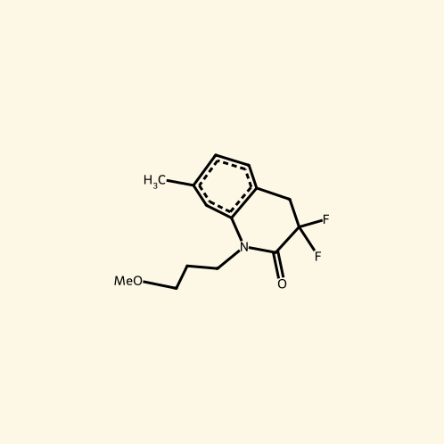 COCCCN1C(=O)C(F)(F)Cc2ccc(C)cc21